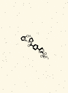 C[C@@H]1CCCN1C[C@@H]1CCCN1C(=O)c1ccc(-c2csc(S(C)(=O)=O)n2)cc1